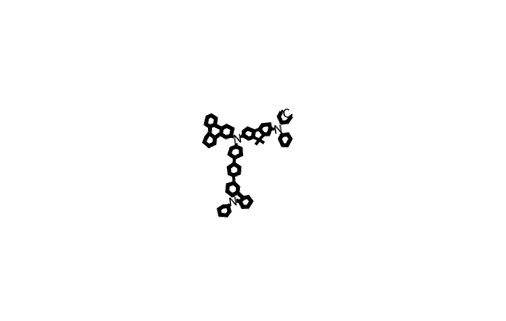 CC1(C)c2cc(N(c3ccccc3)c3ccccc3)ccc2-c2ccc(N(c3ccc(-c4ccc(-c5ccc6c(c5)c5ccccc5n6-c5ccccc5)cc4)cc3)c3ccc4c5ccccc5c5ccccc5c4c3)cc21